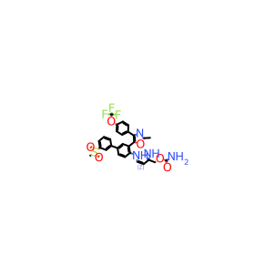 Cc1nc(-c2ccc(OC(F)(F)F)cc2)c(-c2cc(-c3cccc(S(C)(=O)=O)c3)ccc2N/C=C\C(=N)COC(N)=O)o1